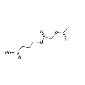 CC(=O)OCC(=O)OCCCC(=O)O